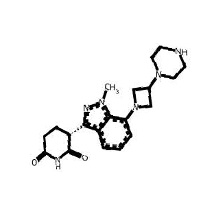 Cn1nc([C@H]2CCC(=O)NC2=O)c2cccc(N3CC(N4CCNCC4)C3)c21